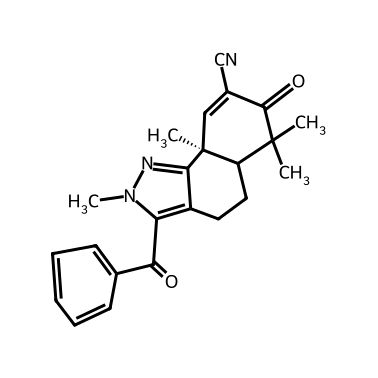 Cn1nc2c(c1C(=O)c1ccccc1)CCC1C(C)(C)C(=O)C(C#N)=C[C@]21C